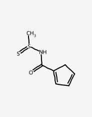 CS(=S)NC(=O)C1=CC=CC1